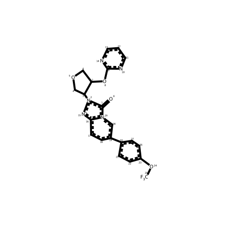 O=c1n(C2COCC2Oc2ncccn2)nc2ccc(-c3ccc(OC(F)(F)F)cc3)cn12